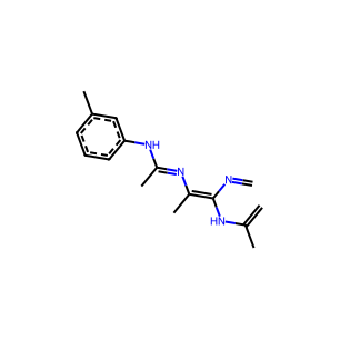 C=N/C(NC(=C)C)=C(C)\N=C(/C)Nc1cccc(C)c1